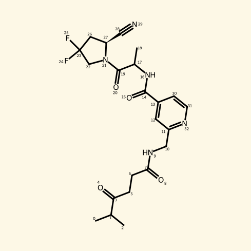 CC(C)C(=O)CCC(=O)NCc1cc(C(=O)NC(C)C(=O)N2CC(F)(F)C[C@H]2C#N)ccn1